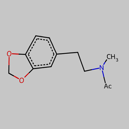 CC(=O)N(C)CCc1ccc2c(c1)OCO2